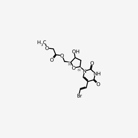 COCC(=O)OC[C@@H]1O[C@H](n2cc(C=CBr)c(=O)[nH]c2=O)CC1O